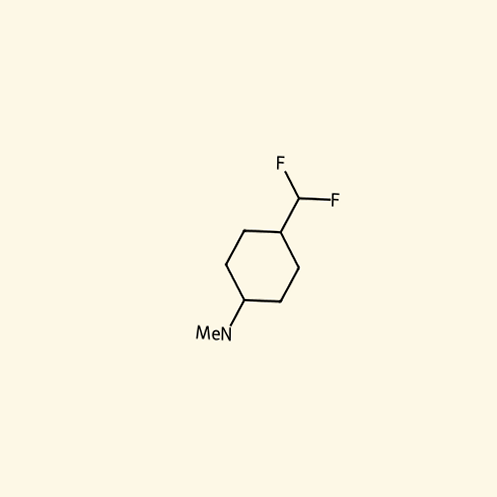 CNC1CCC(C(F)F)CC1